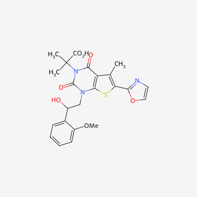 COc1ccccc1C(O)Cn1c(=O)n(C(C)(C)C(=O)O)c(=O)c2c(C)c(-c3ncco3)sc21